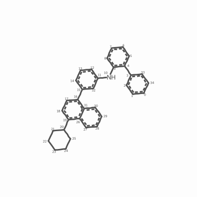 c1ccc(-c2ccccc2Nc2cccc(-c3ccc(C4CCCCC4)c4ccccc34)c2)cc1